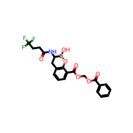 O=C(CCC(F)(F)F)NC1Cc2cccc(C(=O)OCOC(=O)c3ccccc3)c2OB1O